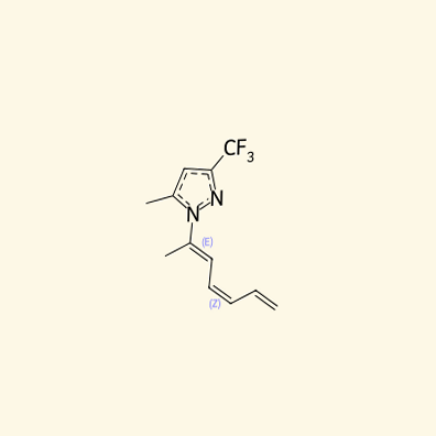 C=C/C=C\C=C(/C)n1nc(C(F)(F)F)cc1C